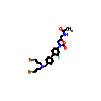 CC(=O)NCC1CN(c2ccc(-c3ccc(CN(CC=CBr)CC=CBr)cc3)c(F)c2)C(=O)O1